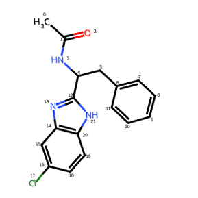 CC(=O)NC(Cc1ccccc1)c1nc2cc(Cl)ccc2[nH]1